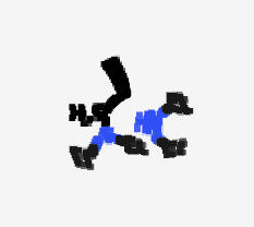 C=C[SiH2]N(CC)CC.CCNCC